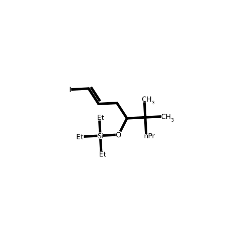 CCCC(C)(C)C(CC=CI)O[Si](CC)(CC)CC